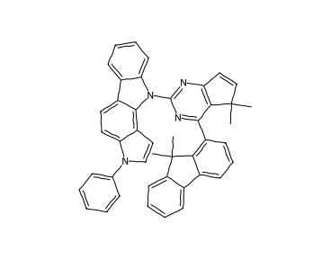 CC1(C)C=Cc2nc(-n3c4ccccc4c4ccc5c(ccn5-c5ccccc5)c43)nc(-c3cccc4c3C(C)(C)c3ccccc3-4)c21